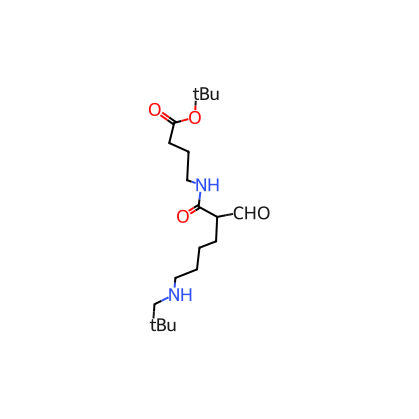 CC(C)(C)CNCCCCC(C=O)C(=O)NCCCC(=O)OC(C)(C)C